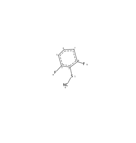 N#CSc1c(F)cccc1F